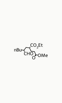 CCCCC(C=O)C[C@H](CCC(=O)OC)C(=O)OCC